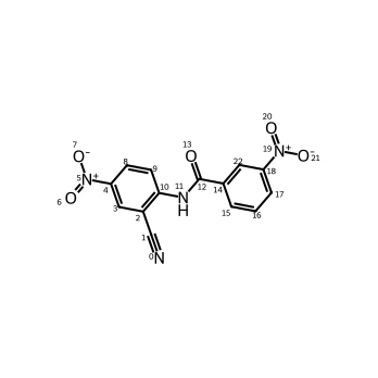 N#Cc1cc([N+](=O)[O-])ccc1NC(=O)c1cccc([N+](=O)[O-])c1